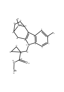 Cc1ccc2c(c1)c1c(n2CC2(C(=O)OC(C)C)CC2)CC2CCC1N2C